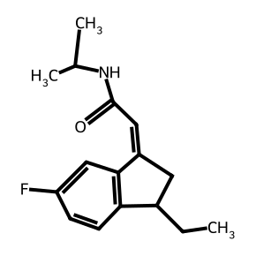 CCC1C/C(=C/C(=O)NC(C)C)c2cc(F)ccc21